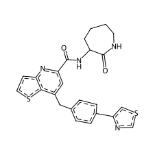 O=C(NC1CCCCNC1=O)c1cc(Cc2ccc(-c3cscn3)cc2)c2sccc2n1